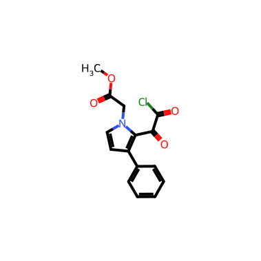 COC(=O)Cn1ccc(-c2ccccc2)c1C(=O)C(=O)Cl